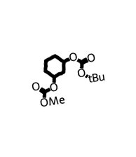 COC(=O)OC1CCCC(OC(=O)OC(C)(C)C)C1